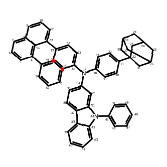 c1ccc(-c2cccc3cccc(-c4ccc(N(c5ccc(C67CC8CC(CC(C8)C6)C7)cc5)c5ccc6c7ccccc7n(-c7ccccc7)c6c5)cc4)c23)cc1